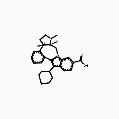 CN1CC[C@H]2c3ccccc3-c3c(C4CCCCC4)c4ccc(C(=O)O)cc4n3C[C@H]21